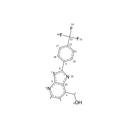 OCc1ccnc2sc(-c3ccc(C(F)(F)F)cc3)nc12